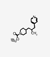 CC(Cc1ccncc1)CC1CCN(C(=O)OC(C)(C)C)CC1